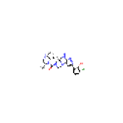 C[C@@H]1CN[C@@H](C)CN1C(=O)N1CCN2c3cc(-c4cccc(F)c4O)nnc3NCC2(C)C1